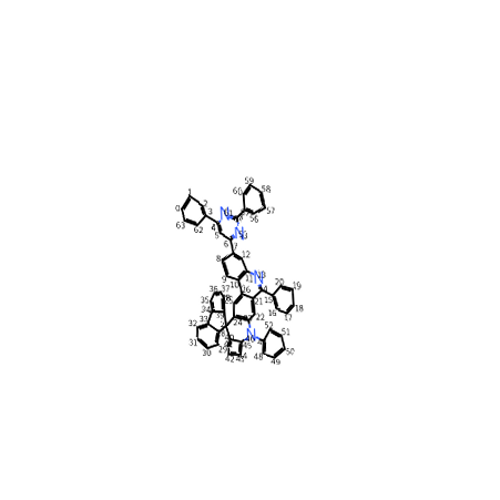 c1ccc(-c2cc(-c3ccc4c(c3)nc(-c3ccccc3)c3cc5c(cc34)C3(c4ccccc4-c4ccccc43)c3ccccc3N5c3ccccc3)nc(-c3ccccc3)n2)cc1